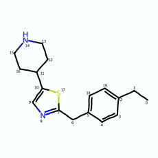 CCc1ccc(Cc2ncc(C3CCNCC3)s2)cc1